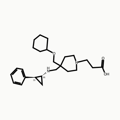 O=C(O)CCN1CCC(CN[C@@H]2C[C@H]2c2ccccc2)(COC2CCCCC2)CC1